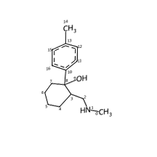 CNCC1CCCCC1(O)c1ccc(C)cc1